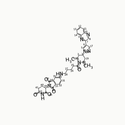 C[C@@H]1CC(n2cc(-c3cnc4ccccc4n3)cn2)C[C@H](C)N1C(=O)CCCCNc1ccc2c(c1)C(=O)N(C1CCC(=O)NC1=O)C2=O